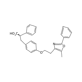 Cc1oc(-c2ccccc2)nc1CCOc1ccc(C[C@@H](C(=O)O)c2ccccc2)cc1